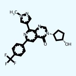 Cn1cc(-c2nc(-c3ccc(C(F)(F)F)cc3)cc3c(=O)n([C@@H]4CC[C@H](O)C4)cnc23)cn1